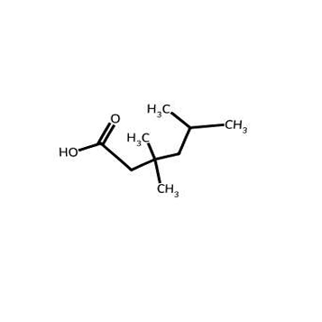 CC(C)CC(C)(C)CC(=O)O